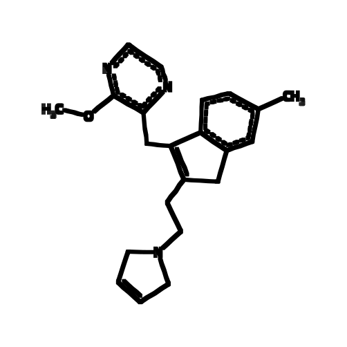 COc1nccnc1CC1=C(CCN2CC=CC2)Cc2cc(C)ccc21